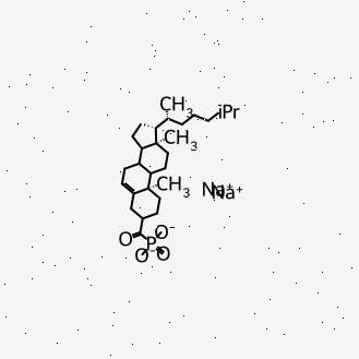 CC(C)CCC[C@@H](C)[C@H]1CCC2C3CC=C4CC(C(=O)P(=O)([O-])[O-])CC[C@]4(C)C3CC[C@@]21C.[Na+].[Na+]